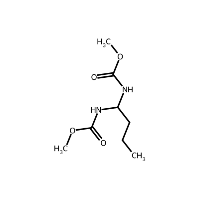 CCCC(NC(=O)OC)NC(=O)OC